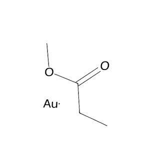 CCC(=O)OC.[Au]